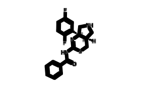 O=C(NC1=N[C@@]2(c3cc(F)ccc3F)CNC[C@H]2CS1)c1ccccc1